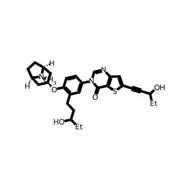 CCC(O)C#Cc1cc2ncn(-c3ccc(O[C@H]4C[C@H]5CC[C@@H](C4)N5C)c(CCC(O)CC)c3)c(=O)c2s1